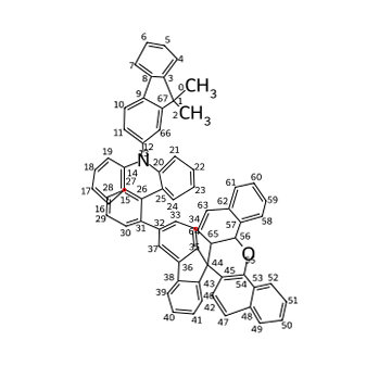 CC1(C)c2ccccc2-c2ccc(N(c3ccccc3)c3ccccc3-c3ccccc3-c3ccc4c(c3)-c3ccccc3C43c4ccc5ccccc5c4OC4c5ccccc5C=CC43)cc21